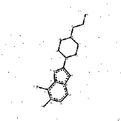 CCCC1CCC(c2cc3ccc(C)c(F)c3s2)CC1